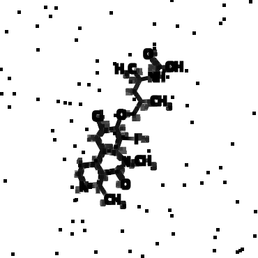 Cc1nccc2c1c(=O)n(C)c1c(F)c(OCC(C)CC(C)NC(=O)O)c(Cl)cc21